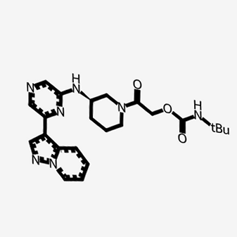 CC(C)(C)NC(=O)OCC(=O)N1CCC[C@@H](Nc2cncc(-c3cnn4ccccc34)n2)C1